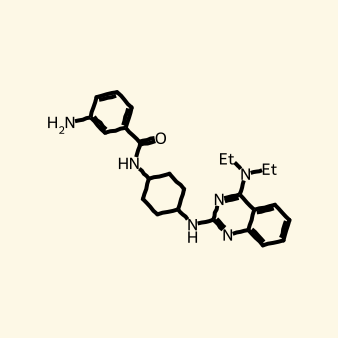 CCN(CC)c1nc(NC2CCC(NC(=O)c3cccc(N)c3)CC2)nc2ccccc12